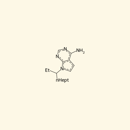 CCCCCCCC(CC)n1ccc2c(N)ncnc21